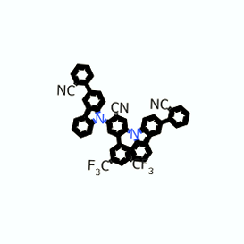 N#Cc1ccccc1-c1ccc2c(c1)c1ccccc1n2-c1cc(-c2cc(C(F)(F)F)cc(C(F)(F)F)c2)c(-n2c3ccccc3c3cc(-c4ccccc4C#N)ccc32)cc1C#N